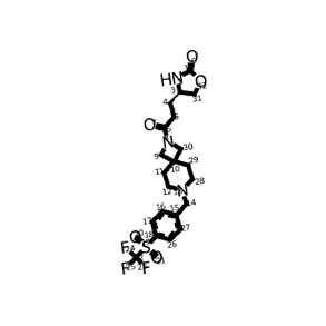 O=C1N[C@H](CCC(=O)N2CC3(CCN(Cc4ccc(S(=O)(=O)C(F)(F)F)cc4)CC3)C2)CO1